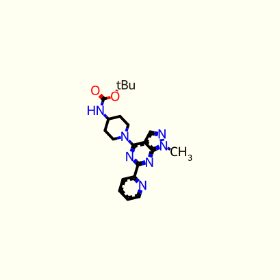 Cn1ncc2c(N3CCC(NC(=O)OC(C)(C)C)CC3)nc(-c3ccccn3)nc21